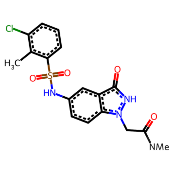 CNC(=O)Cn1[nH]c(=O)c2cc(NS(=O)(=O)c3cccc(Cl)c3C)ccc21